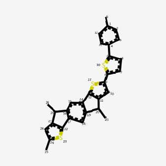 Cc1ccc(-c2ccc(-c3cc4c(s3)-c3cc5c(cc3C4C)-c3sc(C)cc3C5C)s2)cc1